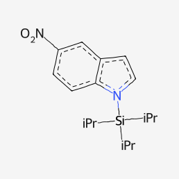 CC(C)[Si](C(C)C)(C(C)C)n1ccc2cc([N+](=O)[O-])ccc21